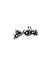 C/C(=N\NS(=O)(=O)c1ccc(C)cc1)c1ccc2c(c1)Nc1ccc(C(F)(F)F)cc1O2